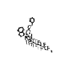 O=S(=O)(OS1(c2cccc3ccccc23)CCC(OCc2ccccc2)C1)C(F)(F)C(F)(F)C(F)(F)C(F)(F)C(F)(F)C(F)(F)C(F)(F)C(F)(F)F